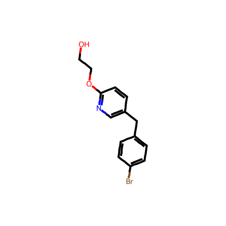 OCCOc1ccc(Cc2ccc(Br)cc2)cn1